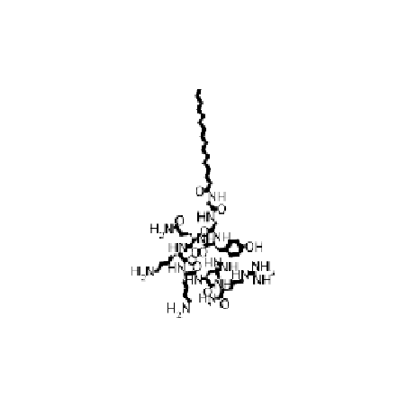 CCCCCCCCCCCCCCCC(=O)NCC(=O)NCC(=O)N[C@@H](Cc1ccc(O)cc1)C(=O)N[C@@H](CCC(N)=O)C(=O)N[C@@H](CCCCN)C(=O)N[C@@H](CCCCN)C(=O)N[C@@H](CC1(C)NN1)C(=O)N[C@@H](CCCNC(=N)N)C(=O)NC